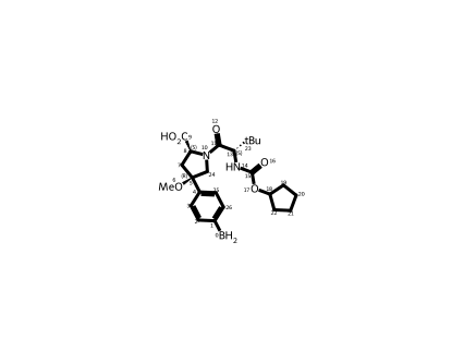 Bc1ccc([C@]2(OC)C[C@@H](C(=O)O)N(C(=O)[C@@H](NC(=O)OC3CCCC3)C(C)(C)C)C2)cc1